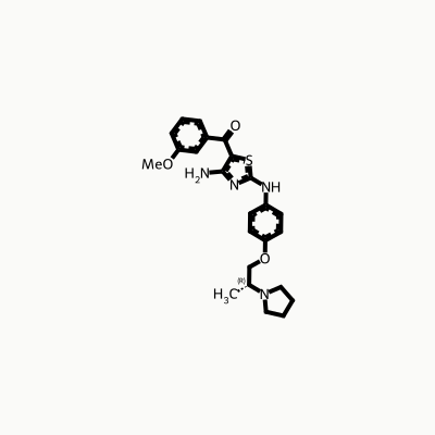 COc1cccc(C(=O)c2sc(Nc3ccc(OC[C@@H](C)N4CCCC4)cc3)nc2N)c1